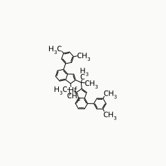 Cc1cc(C)cc(-c2cccc3c2C=C2[CH]3[Hf]([CH3])([CH3])[CH]3C(=Cc4c(-c5cc(C)cc(C)c5)cccc43)C2(C)C)c1